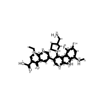 CCn1cc(C(=O)O)c(=O)c2cc(-c3cnc4[nH]c5c(NC)cc(F)c(F)c5c4c3N3CCC(CN)C3)cnc21